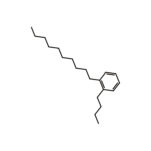 CCCCCCCCCCc1[c]cccc1CCCC